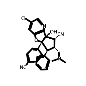 CN(C)C[C@H]1[C@@H](C#N)[C@@]2(O)c3ncc(Cl)cc3O[C@@]2(c2ccc(C#N)cc2)[C@@H]1c1ccccc1